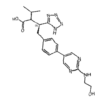 CC(C)C(C(=O)O)[C@H](Cc1ccc(-c2cnc(NCCO)nc2)cc1)c1nnn[nH]1